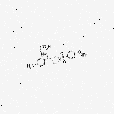 CC(C)Oc1ccc(S(=O)(=O)N2CCC(c3cn(CC(=O)O)c4cc(N)ccc34)C2)cc1